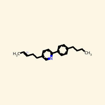 C/C=C/CCc1ccc(-c2ccc(CCCC)cc2)nc1